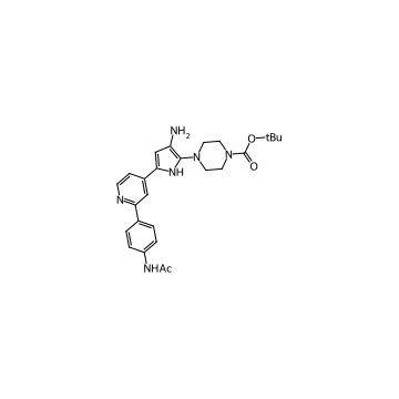 CC(=O)Nc1ccc(-c2cc(-c3cc(N)c(N4CCN(C(=O)OC(C)(C)C)CC4)[nH]3)ccn2)cc1